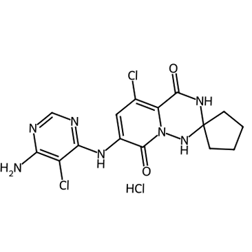 Cl.Nc1ncnc(Nc2cc(Cl)c3n(c2=O)NC2(CCCC2)NC3=O)c1Cl